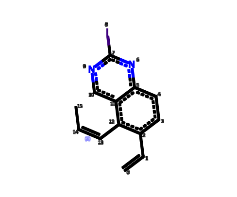 C=Cc1ccc2nc(I)ncc2c1/C=C\C